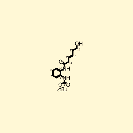 CC(C)(C)OC(=O)Nc1ccccc1NC(=O)CC=CCCO